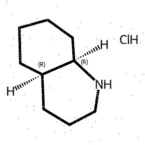 C1CC[C@H]2NCCC[C@H]2C1.Cl